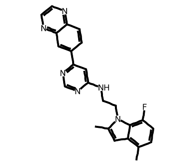 Cc1ccc(F)c2c1cc(C)n2CCNc1cc(-c2ccc3nccnc3c2)ncn1